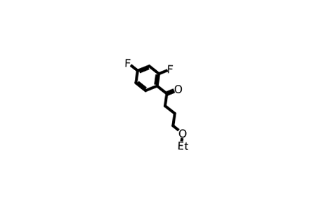 CCOCCCC(=O)c1ccc(F)cc1F